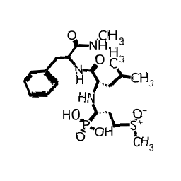 CNC(=O)C(Cc1ccccc1)NC(=O)[C@H](CC(C)C)N[C@H](CC[S+](C)[O-])P(=O)(O)O